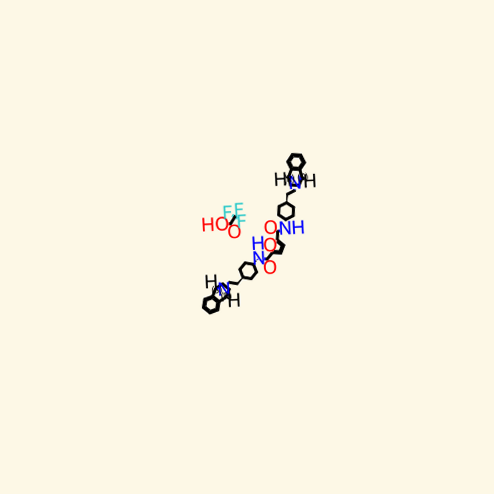 O=C(N[C@H]1CC[C@H](CCN2[C@@H]3CC[C@H]2c2ccccc23)CC1)c1ccc(C(=O)N[C@H]2CC[C@H](CCN3[C@@H]4CC[C@H]3c3ccccc34)CC2)o1.O=C(O)C(F)(F)F